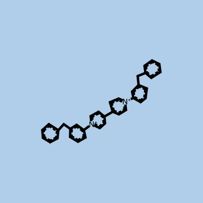 c1ccc(Cc2cccc(-[n+]3ccc(-c4cc[n+](-c5cccc(Cc6ccccc6)c5)cc4)cc3)c2)cc1